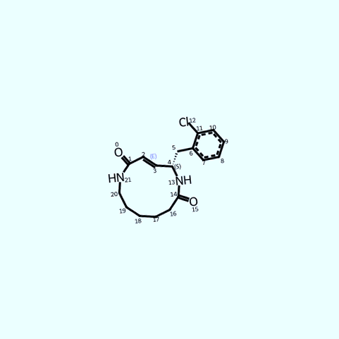 O=C1/C=C/[C@H](Cc2ccccc2Cl)NC(=O)CCCCCN1